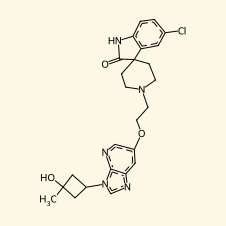 CC1(O)CC(n2cnc3cc(OCCN4CCC5(CC4)C(=O)Nc4ccc(Cl)cc45)cnc32)C1